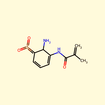 C=C(C)C(=O)NC1=CC=CC(=S(=O)=O)C1N